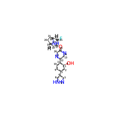 Oc1cc(-c2cn[nH]c2)ccc1-c1cnc(O[C@@H]2C[C@H]3CC[C@H](N3)[C@@H]2F)cn1